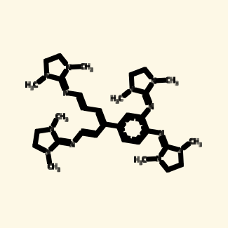 CN1CCN(C)C1=N/C=C/C=C(\C=C\N=C1N(C)CCN1C)c1ccc(N=C2N(C)CCN2C)c(N=C2N(C)CCN2C)c1